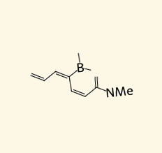 C=C/C=C(\C=C/C(=C)NC)B(C)C